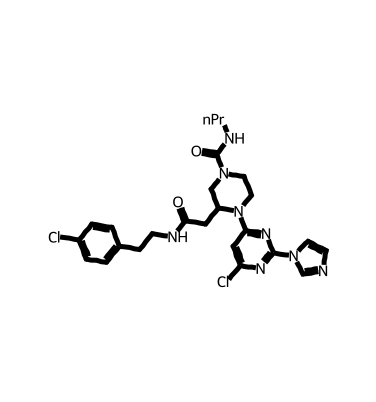 CCCNC(=O)N1CCN(c2cc(Cl)nc(-n3ccnc3)n2)C(CC(=O)NCCc2ccc(Cl)cc2)C1